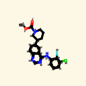 CC(C)(C)OC(=O)N1CCCC(c2ccc3ncnc(Nc4cccc(Cl)c4F)c3c2)C1